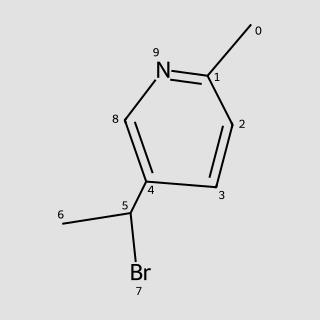 Cc1ccc(C(C)Br)cn1